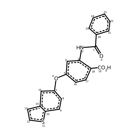 O=C(Nc1cc(Oc2ccc3sccc3c2)ccc1C(=O)O)c1ccccc1